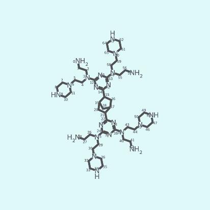 NCCN(CCN1CCNCC1)c1nc(C2CC3CC2CC3c2nc(N(CCN)CCN3CCNCC3)nc(N(CCN)CCN3CCNCC3)n2)nc(N(CCN)CCN2CCNCC2)n1